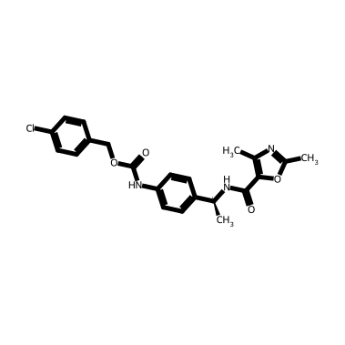 Cc1nc(C)c(C(=O)N[C@@H](C)c2ccc(NC(=O)OCc3ccc(Cl)cc3)cc2)o1